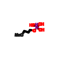 COCCCO[PH](O)(O)O